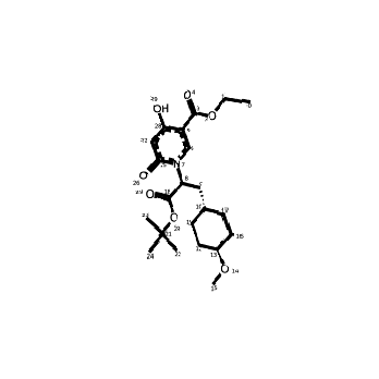 CCOC(=O)c1cn(C(C[C@H]2CC[C@H](OC)CC2)C(=O)OC(C)(C)C)c(=O)cc1O